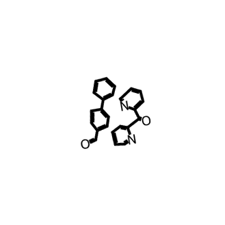 O=C(c1ccccn1)c1ccccn1.O=Cc1ccc(-c2ccccc2)cc1